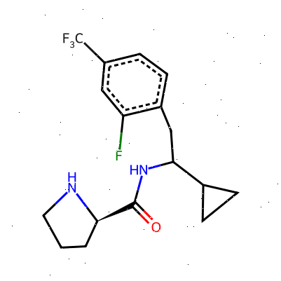 O=C(NC(Cc1ccc(C(F)(F)F)cc1F)C1CC1)[C@H]1CCCN1